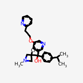 CC(C)c1ccc(C(O)(c2cncc(OCCc3ccccn3)c2)C2(C)CN(C)C2)cc1